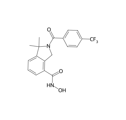 CC1(C)c2cccc(C(=O)NO)c2CN1C(=O)c1ccc(C(F)(F)F)cc1